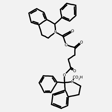 O=C(CCC(=O)OC1(c2ccccc2)c2ccccc2CCN1C(=O)O)OC(=O)N1CCc2ccccc2C1c1ccccc1